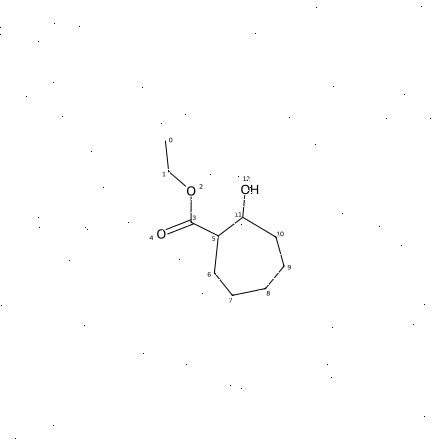 CCOC(=O)C1CCCCCC1O